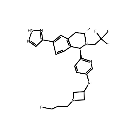 C[C@H]1Cc2cc(-c3cn[nH]n3)ccc2[C@H](c2ccc(NC3CN(CCCF)C3)cn2)N1CC(F)(F)F